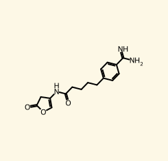 N=C(N)c1ccc(CCCCC(=O)NC2=COC(=O)C2)cc1